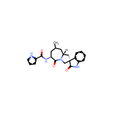 CC1C[C@@H]2C[C@@]3(CN2C(=O)[C@@H](NC(=O)c2ccc[nH]2)C1)C(=O)Nc1ccccc13